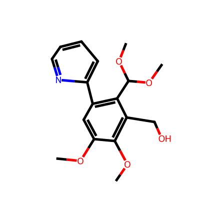 COc1cc(-c2ccccn2)c(C(OC)OC)c(CO)c1OC